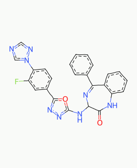 O=C1Nc2ccccc2C(c2ccccc2)=NC1Nc1nnc(-c2ccc(-n3cncn3)c(F)c2)o1